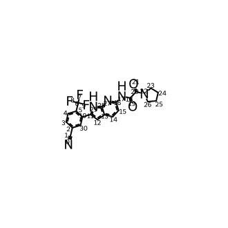 N#Cc1ccc(C(F)(F)F)c(-c2cc3ccc(NC(=O)C(=O)N4CCCC4)nc3[nH]2)c1